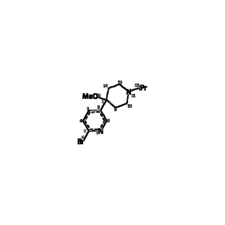 COC1(c2ccc(Br)nc2)CCN(C(C)C)CC1